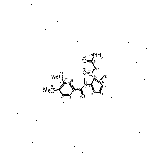 COc1ccc(C(=O)Nc2cccc(C)c2[S+]([O-])CC(N)=O)cc1OC